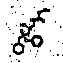 CC(C)(C)OC(=O)NC[C@@H](O)CP(=O)(CC1CCCCC1)Oc1ccccc1